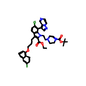 CCOC(=O)c1c(CCCOc2cccc3cc(F)ccc23)c2ccc(Cl)c(-c3cnn4ccncc34)c2n1CCN1CCN(C(=O)OC(C)(C)C)CC1